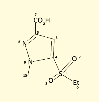 CCS(=O)(=O)c1cc(C(=O)O)nn1C